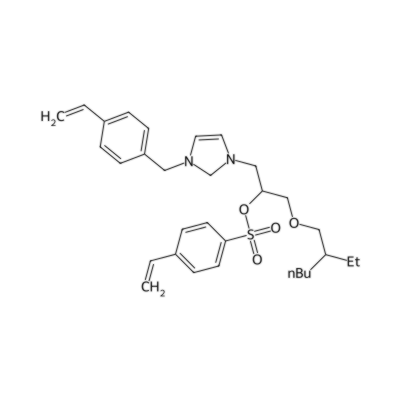 C=Cc1ccc(CN2C=CN(CC(COCC(CC)CCCC)OS(=O)(=O)c3ccc(C=C)cc3)C2)cc1